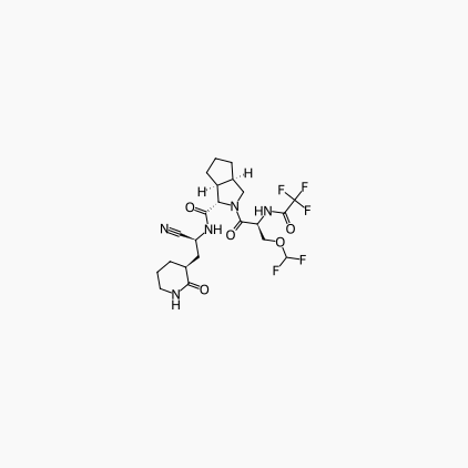 N#C[C@H](C[C@@H]1CCCNC1=O)NC(=O)[C@@H]1[C@H]2CCC[C@H]2CN1C(=O)[C@H](COC(F)F)NC(=O)C(F)(F)F